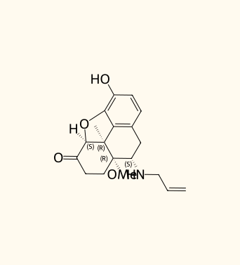 C=CCN[C@H]1Cc2ccc(O)c3c2[C@]2(C)[C@H](O3)C(=O)CC[C@]12OC